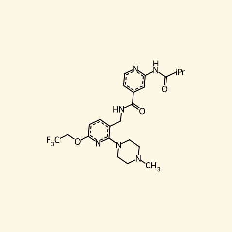 CC(C)C(=O)Nc1cc(C(=O)NCc2ccc(OCC(F)(F)F)nc2N2CCN(C)CC2)ccn1